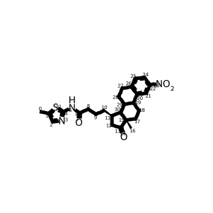 Cc1cnc(NC(=O)CCC[C@@H]2CC(=O)[C@@]3(C)CCC4c5cc([N+](=O)[O-])ccc5CCC4C23)s1